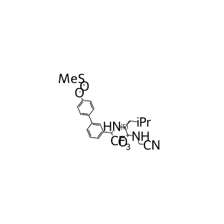 CSOOc1ccc(-c2cccc(C(N[C@@H](CC(C)C)C(=O)NCC#N)C(F)(F)F)c2)cc1